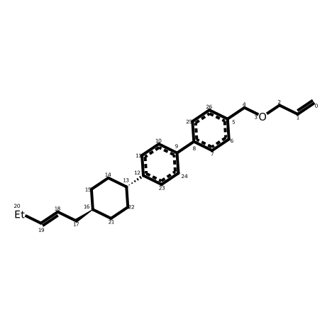 C=CCOCc1ccc(-c2ccc([C@H]3CC[C@H](C/C=C/CC)CC3)cc2)cc1